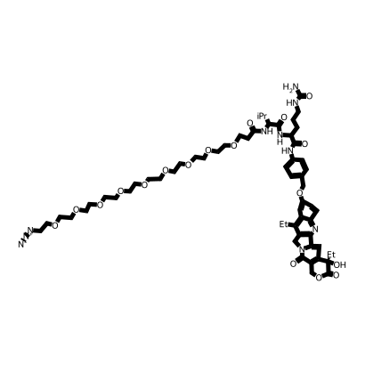 CCc1c2c(nc3ccc(OCc4ccc(NC(=O)C(CCCNC(N)=O)NC(=O)C(NC(=O)CCOCCOCCOCCOCCOCCOCCOCCOCCOCCN=[N+]=[N-])C(C)C)cc4)cc13)-c1cc3c(c(=O)n1C2)COC(=O)[C@]3(O)CC